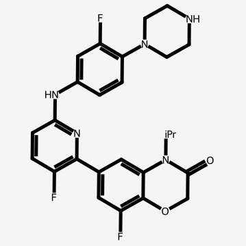 CC(C)N1C(=O)COc2c(F)cc(-c3nc(Nc4ccc(N5CCNCC5)c(F)c4)ccc3F)cc21